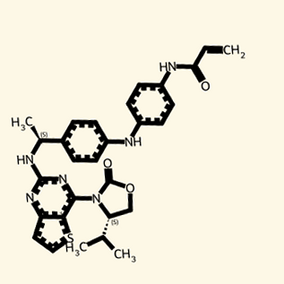 C=CC(=O)Nc1ccc(Nc2ccc([C@H](C)Nc3nc(N4C(=O)OC[C@@H]4C(C)C)c4sccc4n3)cc2)cc1